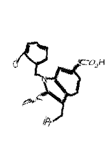 CC(=O)c1c(CC(C)C)c2ccc(C(=O)O)cc2n1Cc1ccccc1Cl